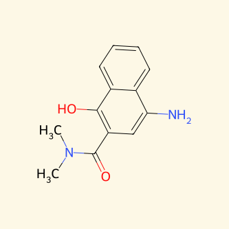 CN(C)C(=O)c1cc(N)c2ccccc2c1O